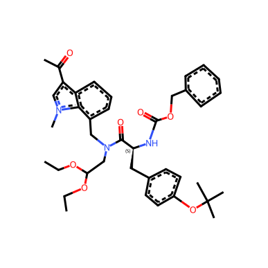 CCOC(CN(Cc1cccc2c(C(C)=O)cn(C)c12)C(=O)[C@H](Cc1ccc(OC(C)(C)C)cc1)NC(=O)OCc1ccccc1)OCC